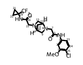 COc1cc(NC(=O)CN2C[C@@H]3C[C@H]2CN3CC(=O)NC2(C(F)(F)F)CC2)ccc1Cl